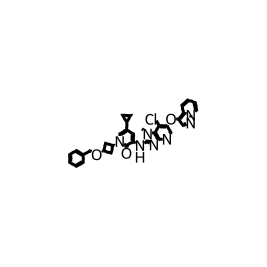 Cn1c(Nc2cc(C3CC3)cn([C@H]3C[C@H](OCc4ccccc4)C3)c2=O)nc2ncc(Oc3cnn4ccccc34)c(Cl)c21